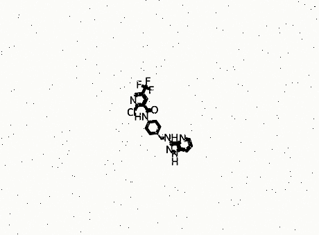 O=C(N[C@H]1CC[C@H](CNc2n[nH]c3cccnc23)CC1)c1cc(C(F)(F)F)cnc1Cl